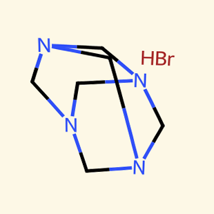 Br.C1N2CN3CN1CN(C2)C3